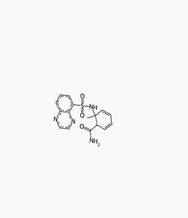 CC1(NS(=O)(=O)c2cccc3nccnc23)C=CC=CC1C(N)=O